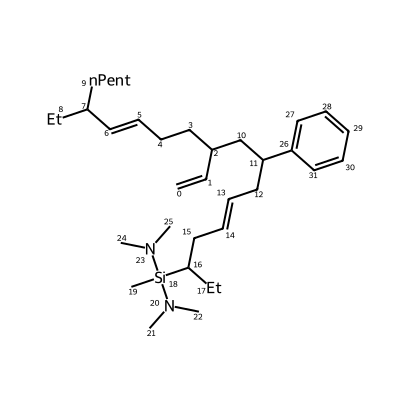 C=CC(CC/C=C/C(CC)CCCCC)CC(C/C=C/CC(CC)[Si](C)(N(C)C)N(C)C)c1ccccc1